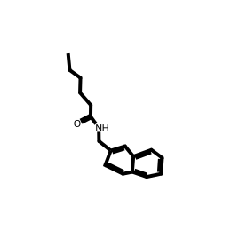 CCCCCC(=O)NCc1ccc2ccccc2c1